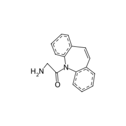 NCC(=O)N1c2ccccc2C=Cc2ccccc21